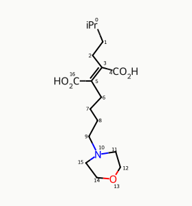 CC(C)CC/C(C(=O)O)=C(/CCCCN1CCOCC1)C(=O)O